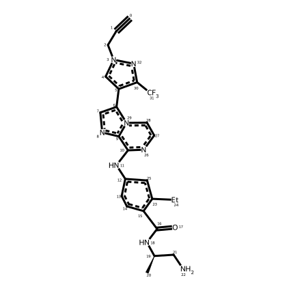 C#CCn1cc(-c2cnc3c(Nc4ccc(C(=O)N[C@H](C)CN)c(CC)c4)nccn23)c(C(F)(F)F)n1